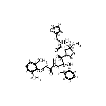 Cc1cccc(C)c1OCC(=O)N[C@@H](Cc1ccccc1)[C@H](O)C(=O)N1CSC(C)(C)[C@H]1C(=O)NCc1ccco1